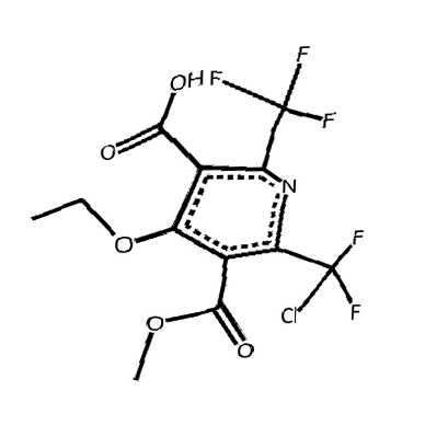 CCOc1c(C(=O)O)c(C(F)(F)F)nc(C(F)(F)Cl)c1C(=O)OC